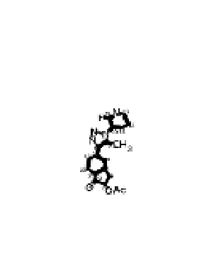 CC(=O)OC1Cc2cc(-c3nnn(-c4cccnc4F)c3C)ccc2C1=O